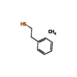 C.SCCc1ccccc1